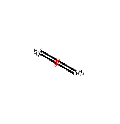 CCCCCCCCCCCCCCCCCCOC(=O)CCCCCCCCCCCCCCC.CCCCCCCCCCCCCCCCOC(=O)CCCCCCCCCCCCCCC